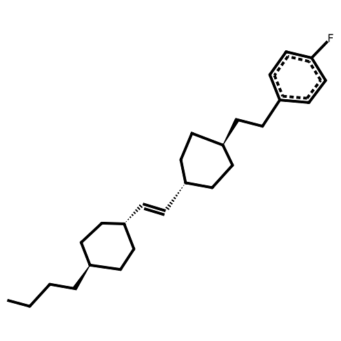 CCCC[C@H]1CC[C@H](/C=C/[C@H]2CC[C@H](CCc3ccc(F)cc3)CC2)CC1